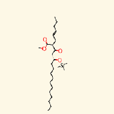 CCCC=CCC(C(=O)C[C@@H](CCCCCCCCCCC)O[Si](C)(C)C)C(=O)OC